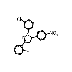 Cc1ccccc1C1=NN(c2cccc(Cl)c2)C(c2ccc([N+](=O)[O-])cc2)C1